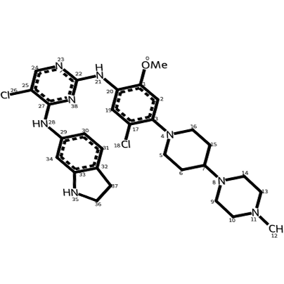 COc1cc(N2CCC(N3CCN(C)CC3)CC2)c(Cl)cc1Nc1ncc(Cl)c(Nc2ccc3c(c2)NCC3)n1